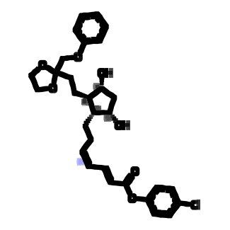 O=C(C=C/C=C\CC[C@@H]1[C@@H](CCC2(COc3ccccc3)OCCO2)[C@H](O)C[C@@H]1O)Oc1ccc(Cl)cc1